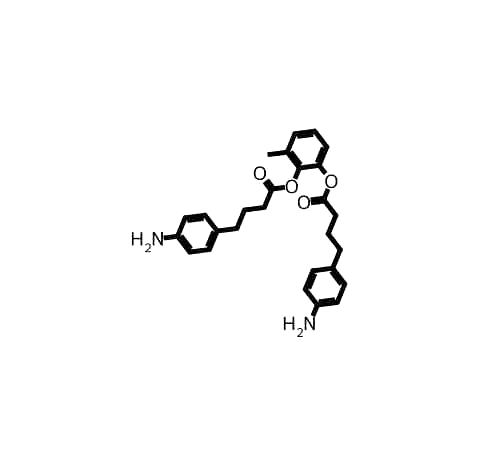 Cc1cccc(OC(=O)CCCc2ccc(N)cc2)c1OC(=O)CCCc1ccc(N)cc1